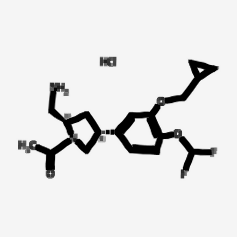 CC(=O)N1C[C@@H](c2ccc(OC(F)F)c(OCC3CC3)c2)C[C@@H]1CN.Cl